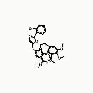 COc1cc(CCn2c(SC3=COC(c4ccccc4Br)O3)nc3c(N)ncnc32)cc(OC)c1OC